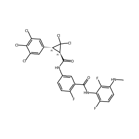 CNc1ccc(F)c(NC(=O)c2cc(NC(=O)[C@H]3[C@H](c4cc(Cl)c(Cl)c(Cl)c4)C3(Cl)Cl)ccc2F)c1F